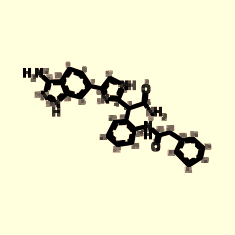 NC(=O)[C](c1nc(-c2ccc3c(N)n[nH]c3c2)c[nH]1)c1ccccc1NC(=O)Cc1ccccc1